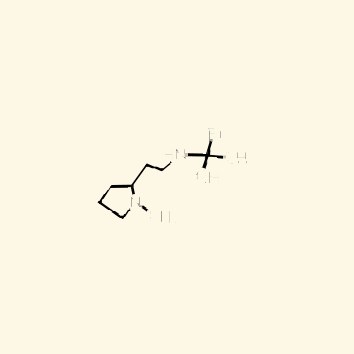 CCC(C)(C)NCCC1CCCN1C